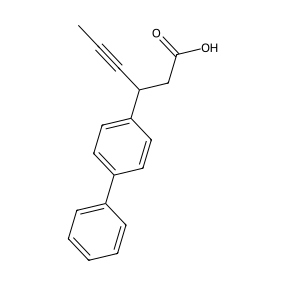 CC#CC(CC(=O)O)c1ccc(-c2ccccc2)cc1